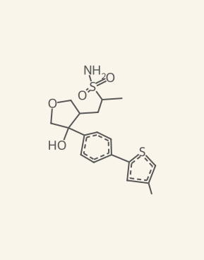 Cc1csc(-c2ccc(C3(O)COCC3CC(C)S(N)(=O)=O)cc2)c1